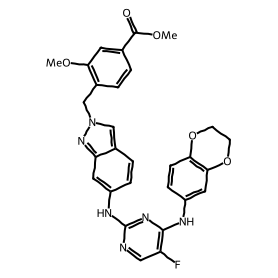 COC(=O)c1ccc(Cn2cc3ccc(Nc4ncc(F)c(Nc5ccc6c(c5)OCCO6)n4)cc3n2)c(OC)c1